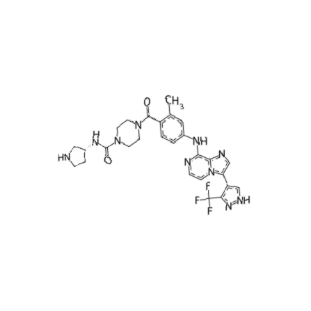 Cc1cc(Nc2nccn3c(-c4c[nH]nc4C(F)(F)F)cnc23)ccc1C(=O)N1CCN(C(=O)N[C@@H]2CCNC2)CC1